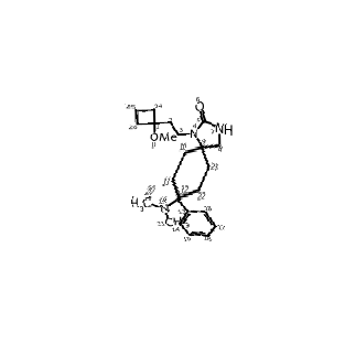 COC1(CCN2C(=O)NCC23CCC(c2ccccc2)(N(C)C)CC3)CCC1